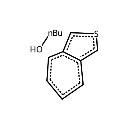 CCCCO.c1ccc2cscc2c1